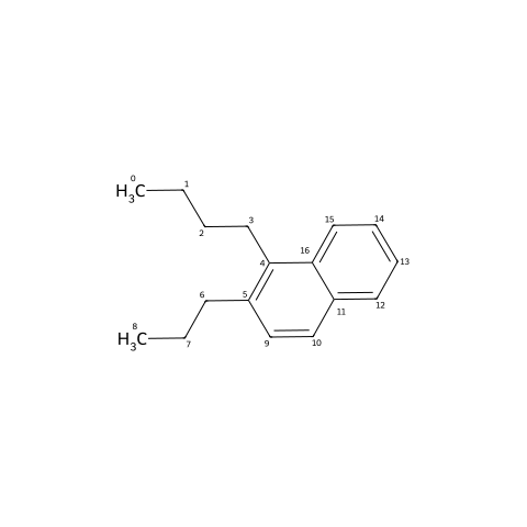 CCCCc1c(CCC)ccc2ccccc12